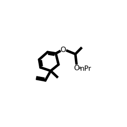 C=CC1(C)C=CC=C(OC(C)OCCC)C1